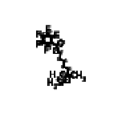 CC(C)(CCCCCOC(=O)c1c(F)c(F)c(F)c(F)c1F)O[SiH3]